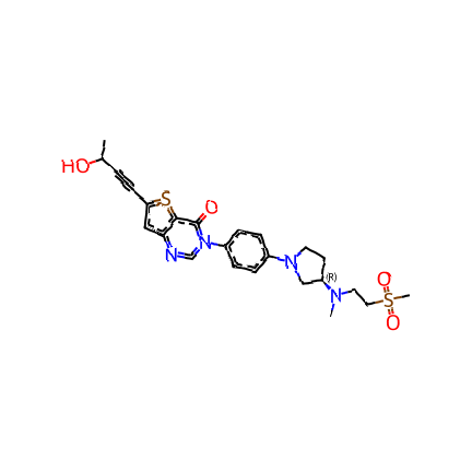 CC(O)C#Cc1cc2ncn(-c3ccc(N4CC[C@@H](N(C)CCS(C)(=O)=O)C4)cc3)c(=O)c2s1